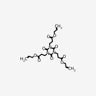 C=CCOC(=O)CCn1c(=O)n(CCC(=O)OCC=C)c(=O)n(CCC(=O)OCC=C)c1=O